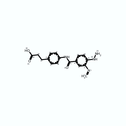 C=Nc1cc(C(=O)Nc2ccc(CCC(=O)O)cc2)ccc1NN